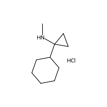 CNC1(C2CCCCC2)CC1.Cl